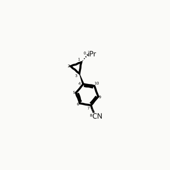 CC(C)[C@H]1C[C@@H]1c1ccc(C#N)cc1